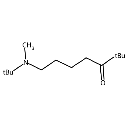 CN(CCCCC(=O)C(C)(C)C)C(C)(C)C